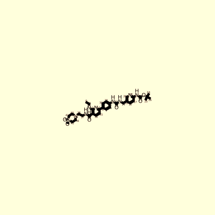 CCNc1nc(-c2ccc(NC(=O)NCc3ccc(NC(=O)OC(C)(C)C)nc3)cc2)ccc1C(=O)NCCN1CCS(=O)(=O)CC1